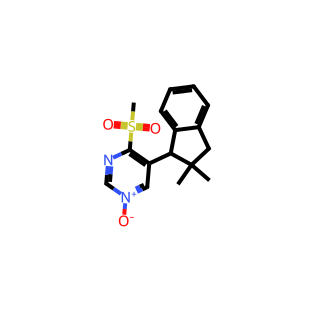 CC1(C)Cc2ccccc2C1c1c[n+]([O-])cnc1S(C)(=O)=O